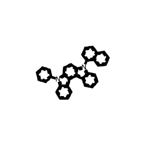 c1ccc(-n2c3ccccc3c3c4c5ccccc5n(-c5cccc6ccccc56)c4ccc32)cc1